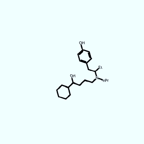 CCCN(CCCC(O)C1CCCCC1)C(CC)Cc1ccc(O)cc1